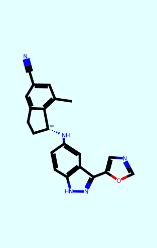 Cc1cc(C#N)cc2c1[C@H](Nc1ccc3[nH]nc(-c4cnco4)c3c1)CC2